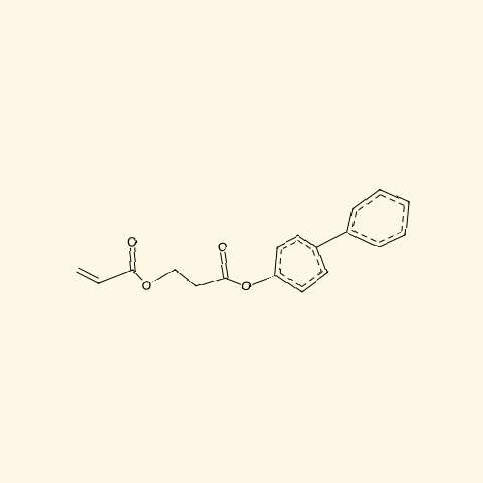 C=CC(=O)OCCC(=O)Oc1ccc(-c2ccccc2)cc1